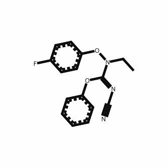 CCN(Oc1ccc(F)cc1)C(=NC#N)Oc1ccccc1